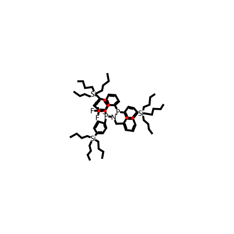 CCCC[Si](CCCC)(CCCC)c1ccc(P(c2ccc([Si](CCCC)(CCCC)CCCC)cc2)N(Cc2ccccc2)P(c2ccc([Si](CCCC)(CCCC)CCCC)cc2)c2ccccc2SC(F)(F)F)cc1